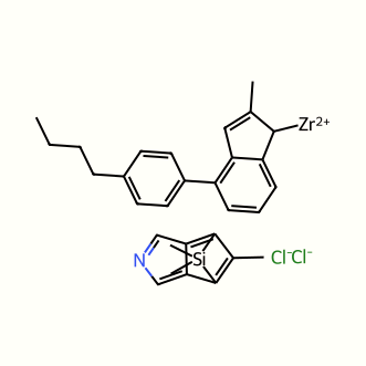 CC1=C2C3=CN=CC3=C1[Si]2(C)C.CCCCc1ccc(-c2cccc3c2C=C(C)[CH]3[Zr+2])cc1.[Cl-].[Cl-]